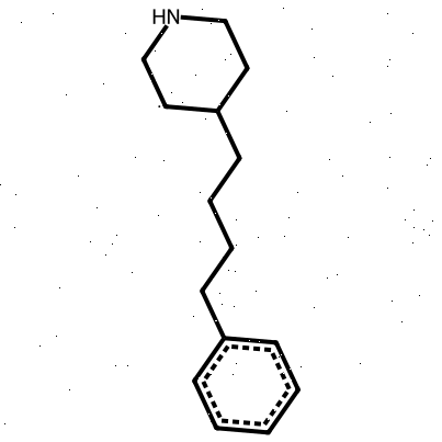 [CH]1CNCCC1CCCCc1ccccc1